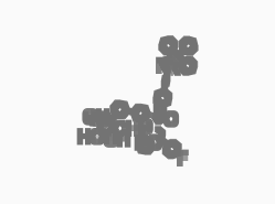 O=C1[C@H](CC[C@H](O)c2ccc(F)cc2)[C@@H](c2ccc(-c3cccc(C4O[C@H](CO)[C@@H](O)[C@H](O)[C@H]4O)c3)cc2OCc2ccccc2)N1c1ccc(C#Cc2ncn(C(c3ccccc3)(c3ccccc3)c3ccccc3)n2)cc1